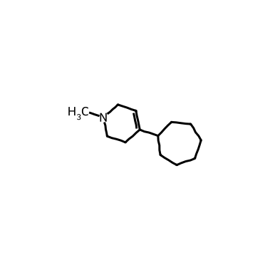 CN1CC=C(C2CCCCCC2)CC1